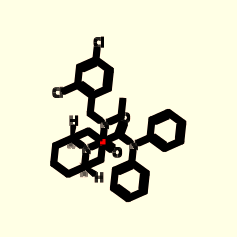 CCN(Cc1ccc(Cl)cc1Cl)C(=O)N1[C@@H]2CCC[C@H]1CN(C(=O)N(c1ccccc1)c1ccccc1)C2